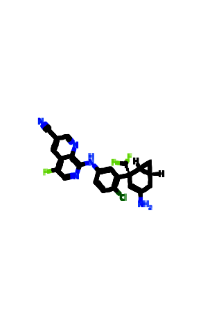 N#Cc1cnc2c(Nc3ccc(Cl)c([C@]4(C(F)F)C=C(N)C[C@H]5C[C@H]54)c3)ncc(F)c2c1